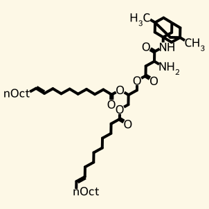 CCCCCCCC/C=C/CCCCCCCC(=O)OCC(COC(=O)CC(N)C(=O)NC12CC3CC(C)(CC(C)(C3)C1)C2)OC(=O)CCCCCCC/C=C/CCCCCCCC